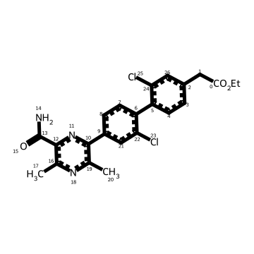 CCOC(=O)Cc1ccc(-c2ccc(-c3nc(C(N)=O)c(C)nc3C)cc2Cl)c(Cl)c1